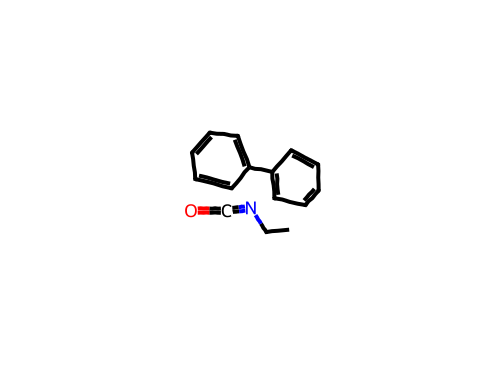 CCN=C=O.c1ccc(-c2ccccc2)cc1